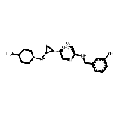 C=C(/C=N\C(=C/C)NCc1cccc(C)c1)[C@H]1C[C@@H]1NC1CCC(N)CC1